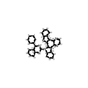 c1ccc(-c2nc(-n3c4ccccc4c4c5nccnc5c5c6ccccc6sc5c43)nc3ccccc23)cc1